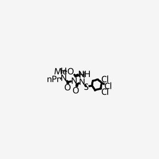 CCCNC(=O)N(C(=N)OC)C(=O)NSC1CCC(Cl)(Cl)C(Cl)C1